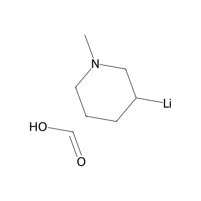 O=CO.[Li][CH]1CCCN(C)C1